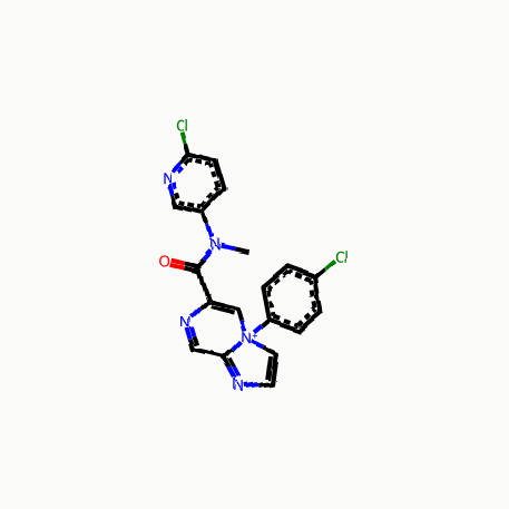 CN(C(=O)C1=C[N+]2(c3ccc(Cl)cc3)C=CN=C2C=N1)c1ccc(Cl)nc1